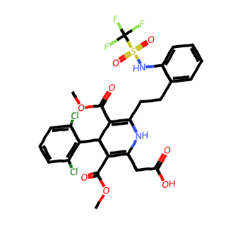 COC(=O)C1=C(CCc2ccccc2NS(=O)(=O)C(F)(F)F)NC(CC(=O)O)=C(C(=O)OC)C1c1c(Cl)cccc1Cl